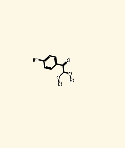 CCOC(OCC)C(=O)c1ccc(C(C)C)cc1